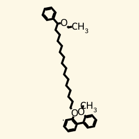 CCOC(CCCCCCCCCCCCCCCOc1[c]cccc1-c1ccccc1OC)c1ccccc1